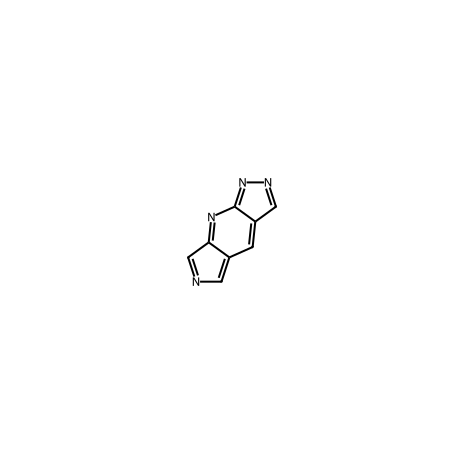 C1=NC=c2cc3c(nc21)=NN=C3